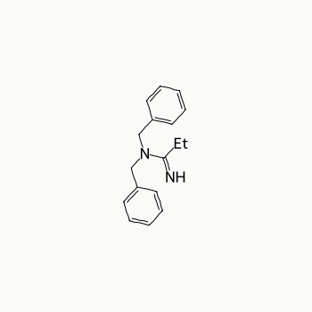 CCC(=N)N(Cc1ccccc1)Cc1ccccc1